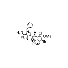 COc1c(Cl)c(NC(=O)c2cn(Cc3ccccc3)c3c(N)ncnc23)c(Cl)c(OC)c1Br